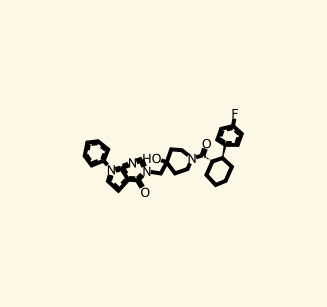 O=C([C@H]1CCCC[C@@H]1c1ccc(F)cc1)N1CCC(O)(Cn2cnc3c(ccn3-c3ccccc3)c2=O)CC1